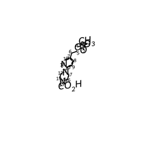 CS(=O)(=O)OCCc1ccc(N2CCN(C(=O)O)CC2)nc1